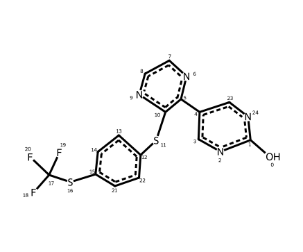 Oc1ncc(-c2nccnc2Sc2ccc(SC(F)(F)F)cc2)cn1